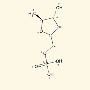 C[C@@H]1OC(COP(=O)(O)O)C[C@H]1O